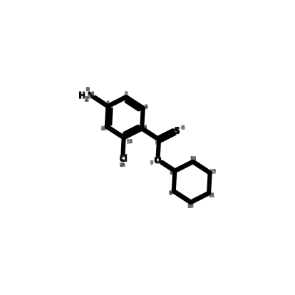 Nc1ccc(C(=S)OC2CCCCC2)c(Cl)c1